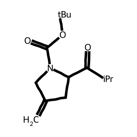 C=C1CC(C(=O)C(C)C)N(C(=O)OC(C)(C)C)C1